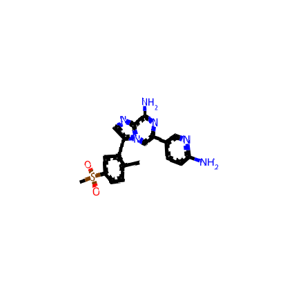 Cc1ccc(S(C)(=O)=O)cc1-c1cnc2c(N)nc(-c3ccc(N)nc3)cn12